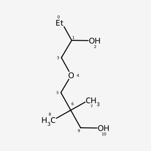 CCC(O)COCC(C)(C)CO